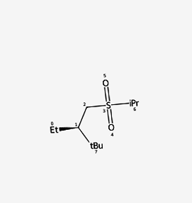 CC[C@@H](CS(=O)(=O)C(C)C)C(C)(C)C